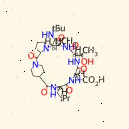 CC(C)C[C@@H]1NC(=O)C2CCN(CC2)C(=O)C2CCCN2[C@H](C(=O)NC(C)(C)C)[C@H](C)NC(=O)[C@H]([C@@H](C)O)NC(=O)[C@H](CC(=O)O)NC1=O